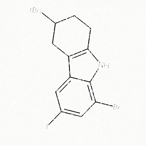 CC(C)(C)C1CCc2[nH]c3c(Br)cc(I)cc3c2C1